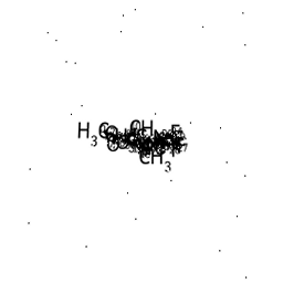 CCOC(=O)COc1cc(C)cc(CN2[C@H](C)CN(c3nc4cc(F)c(C(F)(F)F)cc4s3)C[C@@H]2C)c1